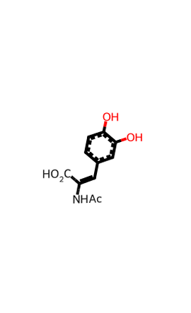 CC(=O)NC(=Cc1ccc(O)c(O)c1)C(=O)O